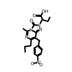 CCCc1nc(C)n2c(=O)n(C(CC)C(=O)O)nc2c1Cc1ccc([N+](=O)[O-])cc1